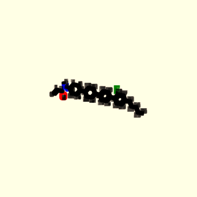 C=CC(=O)N(C)C1CCC(C2CCC(c3ccc(-c4ccc(CCCCC)cc4F)cc3)CC2)CC1